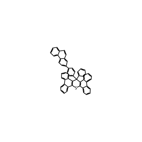 c1ccc(C2(c3ccc(-c4ccc5c(ccc6ccccc65)c4)cc3)c3c(c4ccccc4c4ccccc34)Sc3c2c2ccccc2c2ccccc32)cc1